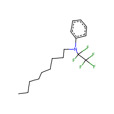 CCCCCCCCCN(c1ccccc1)C(F)(F)C(F)(F)F